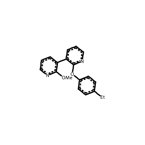 CCc1ccc(Oc2ncccc2-c2cccnc2OC)cc1